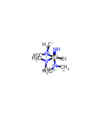 C[CH2][Ta](=[NH])([N](C)C)([N](C)C)[N](C)C